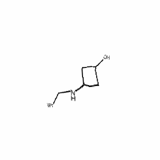 CC(C)CNC1CC(O)C1